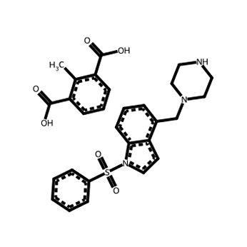 Cc1c(C(=O)O)cccc1C(=O)O.O=S(=O)(c1ccccc1)n1ccc2c(CN3CCNCC3)cccc21